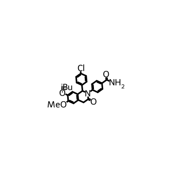 CC[C@@H](C)Oc1cc2c(cc1OC)CC(=O)N(c1ccc(C(N)=O)cc1)C2c1ccc(Cl)cc1